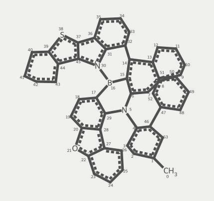 Cc1ccc(N2c3cc4ccccc4c4c3B(c3ccc5oc6ccccc6c5c32)n2c3c-4cccc3c3sc4ccccc4c32)c(-c2ccccc2)c1